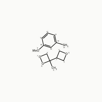 CC1(C2COC2)COO1.COc1cccc([SiH3])c1